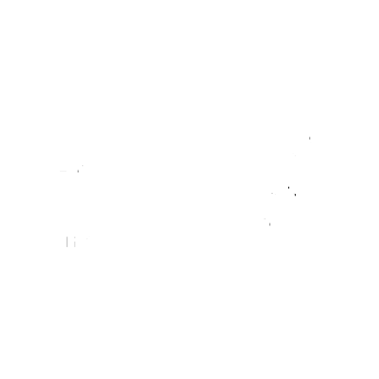 CCC=C(C=CCc1cccc2c1C(=O)NC2=O)CC